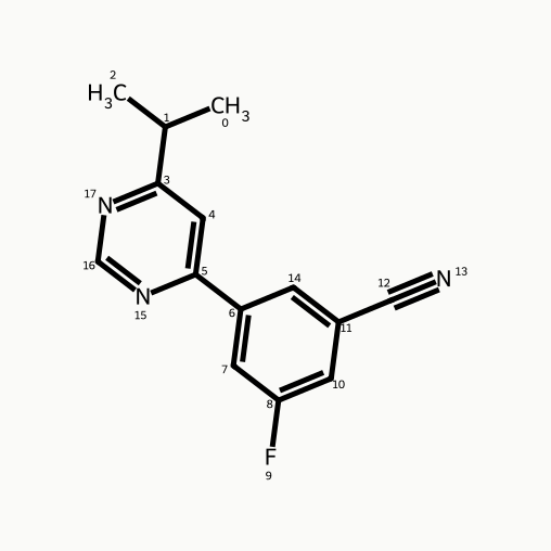 CC(C)c1cc(-c2cc(F)cc(C#N)c2)ncn1